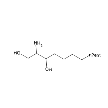 CCCCCCCCCC(O)C(N)CO